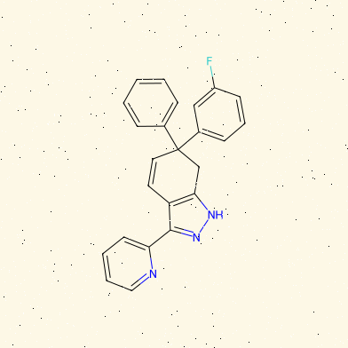 Fc1cccc(C2(c3ccccc3)C=Cc3c(-c4ccccn4)n[nH]c3C2)c1